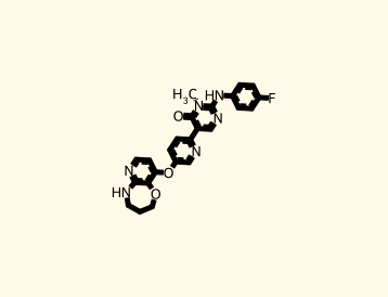 Cn1c(Nc2ccc(F)cc2)ncc(-c2ccc(Oc3ccnc4c3OCCCN4)cn2)c1=O